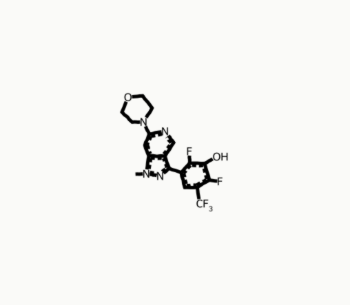 Cn1nc(-c2cc(C(F)(F)F)c(F)c(O)c2F)c2cnc(N3CCOCC3)cc21